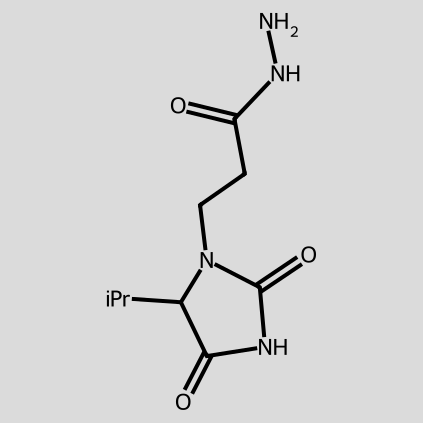 CC(C)C1C(=O)NC(=O)N1CCC(=O)NN